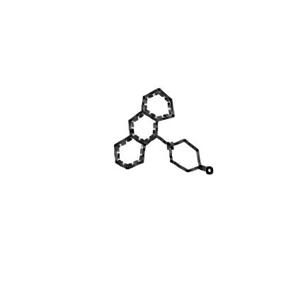 O=C1CCN(c2c3ccccc3cc3ccccc23)CC1